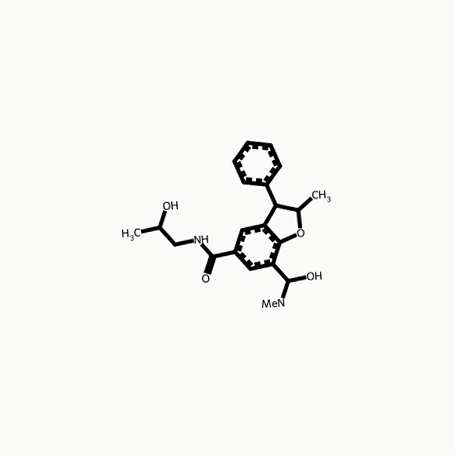 CNC(O)c1cc(C(=O)NCC(C)O)cc2c1OC(C)C2c1ccccc1